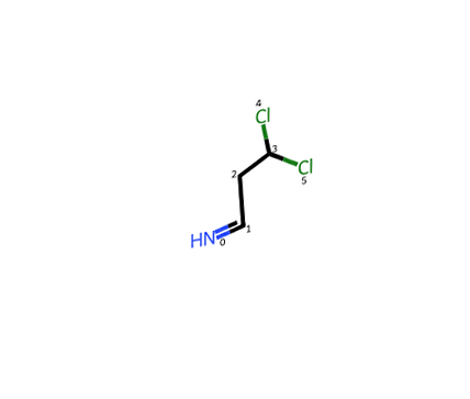 N=CCC(Cl)Cl